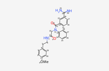 COc1ccc(CCNC(=O)CN(C(=O)c2cccc(C(=N)N)c2)c2ccccc2)cc1